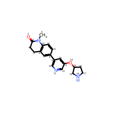 CN1C(=O)CCc2cc(-c3cncc(OC4CCNC4)c3)ccc21